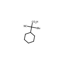 CC(C)(C)C(C#N)(C(=O)O)C1CCCCC1